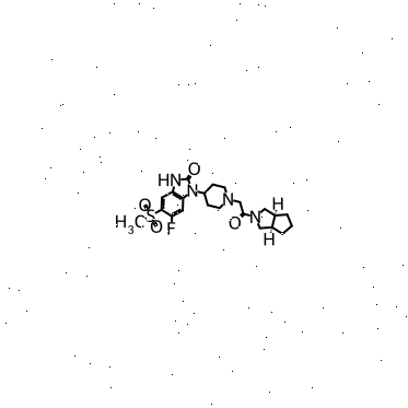 CS(=O)(=O)c1cc2[nH]c(=O)n(C3CCN(CC(=O)N4C[C@H]5CCC[C@H]5C4)CC3)c2cc1F